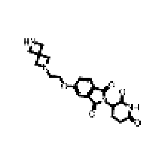 O=C1CCC(N2C(=O)c3ccc(OCCN4CC5(CNC5)C4)cc3C2=O)C(=O)N1